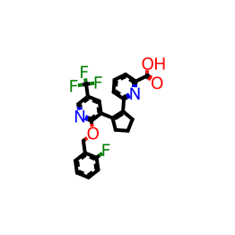 O=C(O)c1cccc(C2=C(c3cc(C(F)(F)F)cnc3OCc3ccccc3F)CCC2)n1